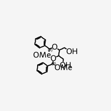 CO[C@H](OC(CO)C(CO)O[C@@H](OC)c1ccccc1)c1ccccc1